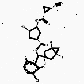 C[C@]1([C@H](NC(=O)[C@@H]2C[C@@H](O)[C@@H](NC(=O)[C@@H]3C[C@@H]3C#N)C2)c2c(F)ccc(Cl)c2Cl)C[C@H]2C[C@H]2C1